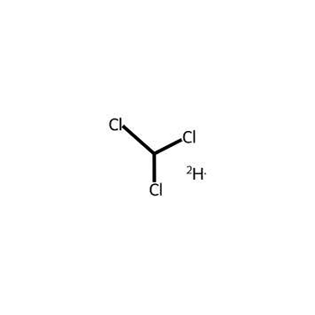 ClC(Cl)Cl.[2H]